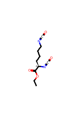 CCOC(=O)[C@@H](CCCCN=C=O)N=C=O